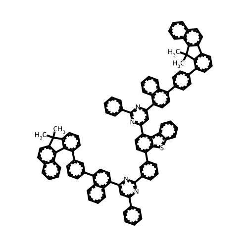 CC1(C)c2cccc(-c3cccc(-c4ccc(-c5cc(-c6ccccc6)nc(-c6cccc(-c7ccc(-c8cc(-c9ccc(-c%10ccc(-c%11cccc%12c%11C(C)(C)c%11c-%12ccc%12ccccc%11%12)cc%10)c%10ccccc9%10)nc(-c9ccccc9)n8)c8c7sc7ccccc78)c6)n5)c5ccccc45)c3)c2-c2c1ccc1ccccc21